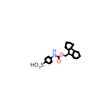 O=C(Nc1ccc(S(=O)(=O)O)cc1)OCC1c2ccccc2-c2ccccc21